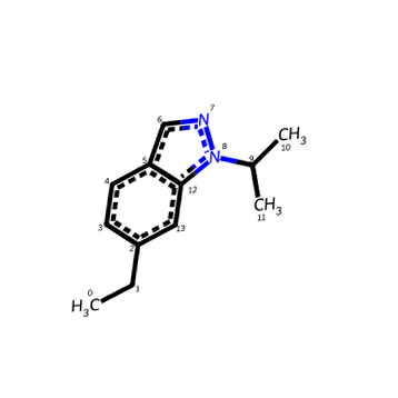 CCc1ccc2cnn(C(C)C)c2c1